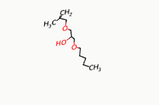 C=C(C)COCC(O)COCCCCC